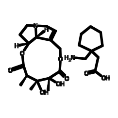 C[C@H]1C(=O)O[C@@H]2CCN3CC=C(COC(=O)[C@](C)(O)[C@]1(C)O)[C@H]23.NCC1(CC(=O)O)CCCCC1